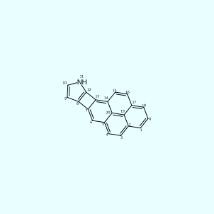 c1cc2ccc3cc4c5cc[nH]c5c4c4ccc(c1)c2c34